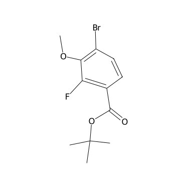 COc1c(Br)ccc(C(=O)OC(C)(C)C)c1F